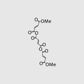 COC(=O)/C=C/C(=O)OC(=O)/C=C/C(=O)OC(=O)/C=C/C(=O)OC